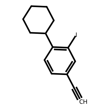 C#Cc1ccc(C2CCCCC2)c(I)c1